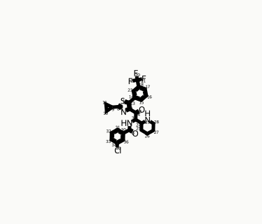 O=C(NC(C(=O)c1nc(C2CC2)sc1-c1cccc(C(F)(F)F)c1)C1CCCCN1)c1cccc(Cl)c1